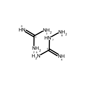 N=C(N)N.N=C(N)NN